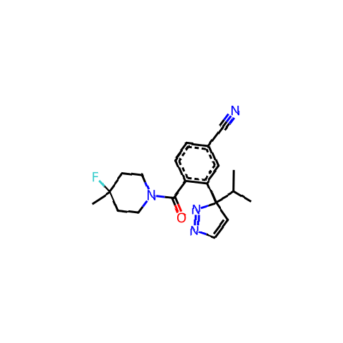 CC(C)C1(c2cc(C#N)ccc2C(=O)N2CCC(C)(F)CC2)C=CN=N1